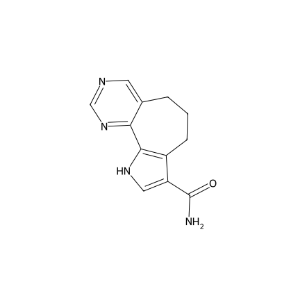 NC(=O)c1c[nH]c2c1CCCc1cncnc1-2